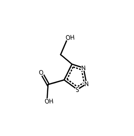 O=C(O)c1snnc1CO